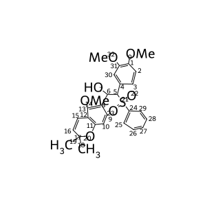 COc1ccc(C(C(O)c2ccc3c(c2OC)C=CC(C)(C)O3)S(=O)(=O)c2ccccc2)cc1OC